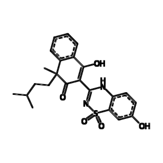 CC(C)CCC1(C)C(=O)C(C2=NS(=O)(=O)c3cc(O)ccc3N2)=C(O)c2ccccc21